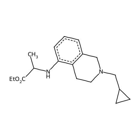 CCOC(=O)C(C)Nc1cccc2c1CCN(CC1CC1)C2